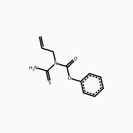 C=CCN(C(=O)Oc1ccccc1)C(N)=S